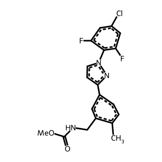 COC(=O)NCc1cc(-c2ccn(-c3c(F)cc(Cl)cc3F)n2)ccc1C